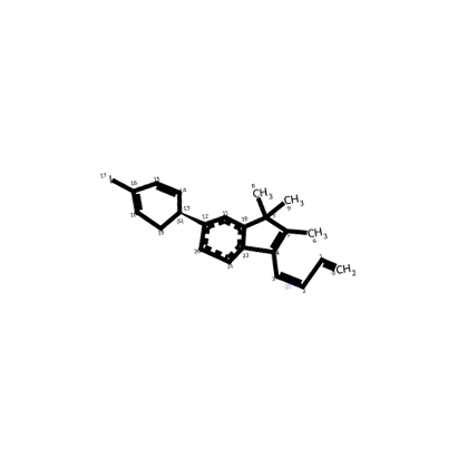 C=C/C=C\C1=C(C)C(C)(C)c2cc([C@@H]3C=CC(I)=CC3)ccc21